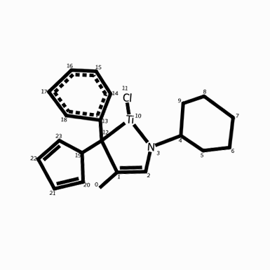 CC1=C[N](C2CCCCC2)[Ti]([Cl])[C]1(c1ccccc1)C1C=CC=C1